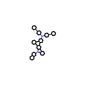 c1ccc(-c2ccc(N(c3ccc(-c4ccccc4)cc3)c3ccc4c(c3)c3ccccc3c3cc5c(cc43)c3ccccc3n5-c3ccc4ccccc4c3)cc2)cc1